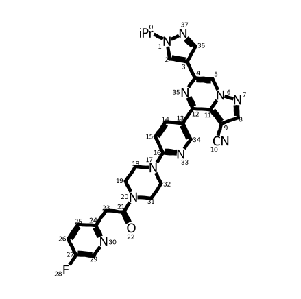 CC(C)n1cc(-c2cn3ncc(C#N)c3c(-c3ccc(N4CCN(C(=O)Cc5ccc(F)cn5)CC4)nc3)n2)cn1